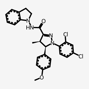 COc1ccc([C@H]2[C@@H](C)C(C(=O)NN3CCc4ccccc43)=NN2c2ccc(Cl)cc2Cl)cc1